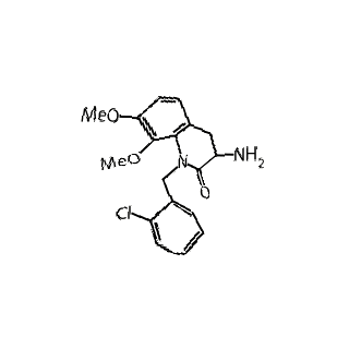 COc1ccc2c(c1OC)N(Cc1ccccc1Cl)C(=O)C(N)C2